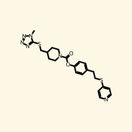 Cn1nnnc1SCC1CCN(C(=O)Oc2ccc(CCSc3ccncc3)cc2)CC1